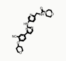 N#Cc1cc(-c2ccnc(Nc3ccc(CNC(=O)N4CCOCC4)nc3)n2)ccc1OC1CCOCC1